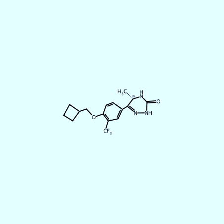 C[C@@H]1NC(=O)NN=C1c1ccc(OCC2CCC2)c(C(F)(F)F)c1